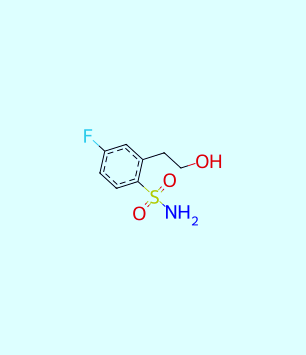 NS(=O)(=O)c1ccc(F)cc1CCO